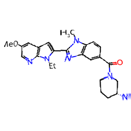 CCn1c(-c2nc3cc(C(=O)N4CCC[C@@H](N)C4)ccc3n2C)cc2cc(OC)cnc21